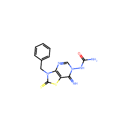 N=c1c2sc(=S)n(Cc3ccccc3)c2ncn1NC(N)=O